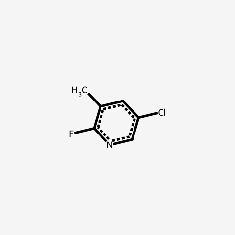 Cc1cc(Cl)cnc1F